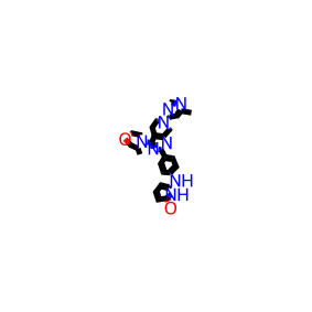 Cc1cc(N2CCc3c(nc(-c4ccc(Nc5cccc(=O)[nH]5)cc4)nc3N3CCOCC3C)C2)ncn1